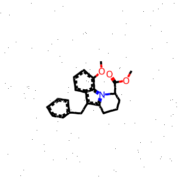 COC(=O)C1CCCc2c(Cc3ccccc3)c3cccc(OC)c3n21